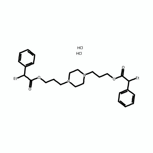 CCC(C(=O)OCCCN1CCN(CCCOC(=O)C(CC)c2ccccc2)CC1)c1ccccc1.Cl.Cl